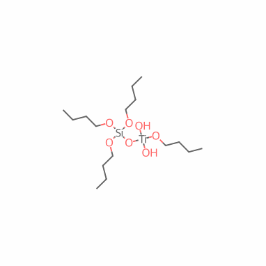 CCCCO[Si](OCCCC)(OCCCC)[O][Ti]([OH])([OH])[O]CCCC